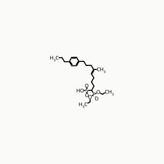 CCCc1ccc(CCCC(C)=CCCCC(P(=O)(OCC)OCC)S(=O)(=O)O)cc1